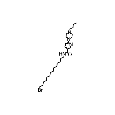 CCCCN1CCN(c2ccc(C(=O)NCCCCCCCCCCCCCCBr)cn2)CC1